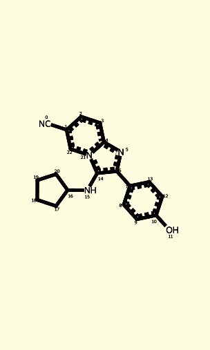 N#Cc1ccc2nc(-c3ccc(O)cc3)c(NC3CCCC3)n2c1